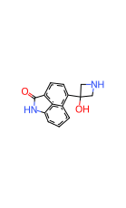 O=C1Nc2cccc3c(C4(O)CNC4)ccc1c23